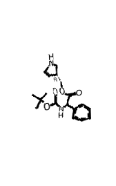 CC(C)(C)OC(=O)NC(C(=O)OC[C@@H]1CCNC1)c1ccccc1